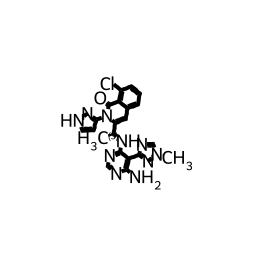 C[C@H](Nc1ncnc(N)c1-c1ncn(C)n1)c1cc2cccc(Cl)c2c(=O)n1-c1cc[nH]n1